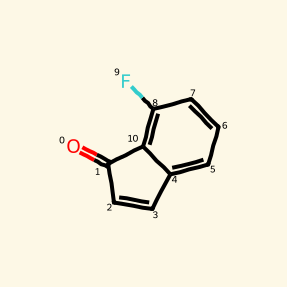 O=C1C=Cc2cccc(F)c21